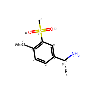 CC[C@@H](N)c1ccc(OC)c(S(C)(=O)=O)c1